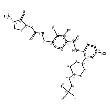 N[C@H]1CCN(CC(=O)NCc2ccc(C(=O)Nc3ccc(Cl)cc3N3CCN(CCC(F)(F)F)CC3)c(F)c2F)C1=O